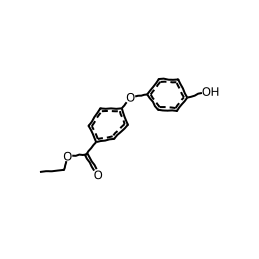 CCOC(=O)c1ccc(Oc2ccc(O)cc2)cc1